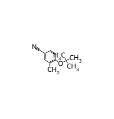 [CH2]c1cc(C#N)ccc1OC(C)(C)C